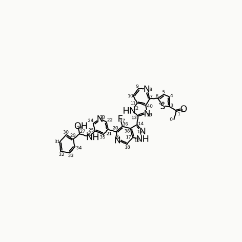 CC(=O)c1ccc(-c2nccc3[nH]c(-c4n[nH]c5cnc(-c6cncc(NC(O)c7ccccc7)c6)c(F)c45)nc23)s1